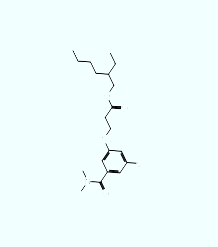 CCCCC(CC)COC(=O)CCSc1cc(Br)cc(C(=O)N(C)C)c1